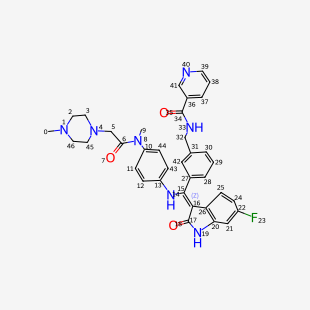 CN1CCN(CC(=O)N(C)c2ccc(N/C(=C3\C(=O)Nc4cc(F)ccc43)c3cccc(CNC(=O)c4cccnc4)c3)cc2)CC1